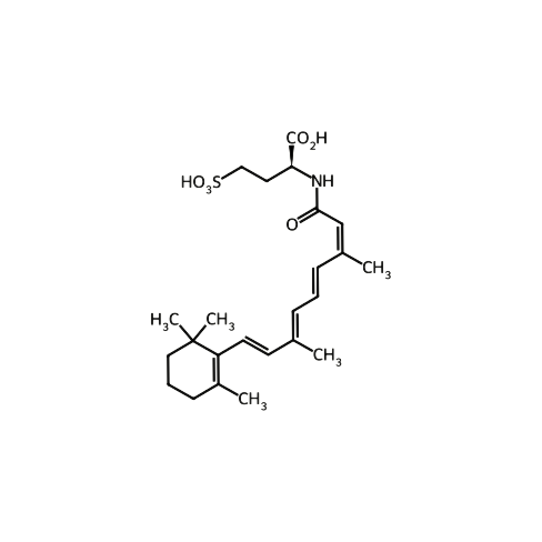 CC(C=CC1=C(C)CCCC1(C)C)=CC=C/C(C)=C\C(=O)N[C@@H](CCS(=O)(=O)O)C(=O)O